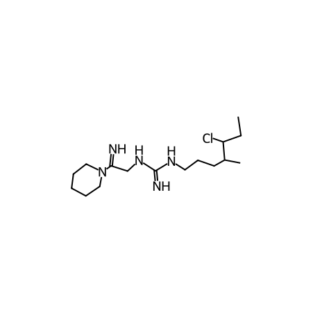 CCC(Cl)C(C)CCCNC(=N)NCC(=N)N1CCCCC1